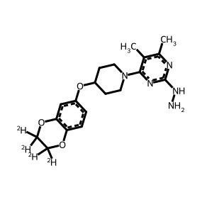 [2H]C1([2H])Oc2ccc(OC3CCN(c4nc(NN)nc(C)c4C)CC3)cc2OC1([2H])[2H]